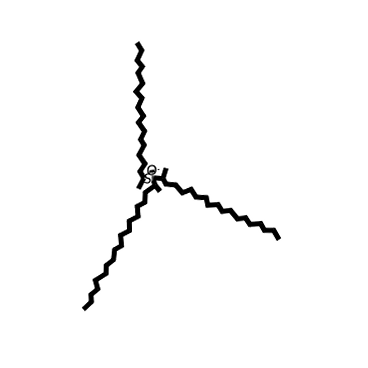 CCCCCCCCCCCCCCCCCC(C)[Si]([O])(C(C)CCCCCCCCCCCCCCCCC)C(C)CCCCCCCCCCCCCCCCC